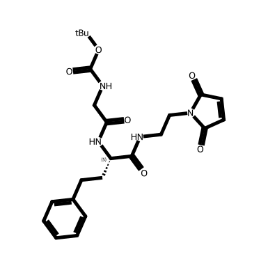 CC(C)(C)OC(=O)NCC(=O)N[C@@H](CCc1ccccc1)C(=O)NCCN1C(=O)C=CC1=O